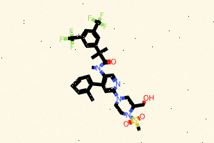 Cc1ccccc1-c1cc(N2CCN(S(C)(=O)=O)C(CO)C2)ncc1N(C)C(=O)C(C)(C)c1cc(C(F)(F)F)cc(C(F)(F)F)c1